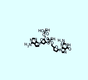 Nc1nc2c(ncn2[C@H]2CCC(COP(=O)(S)OC3C[C@H](n4ccc5c(N)ncnc54)O[C@@H]3COP(=O)(O)S)O2)c(=O)[nH]1